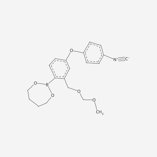 [C-]#[N+]c1ccc(Oc2ccc(B3OCCCCO3)c(COCOC)c2)cc1